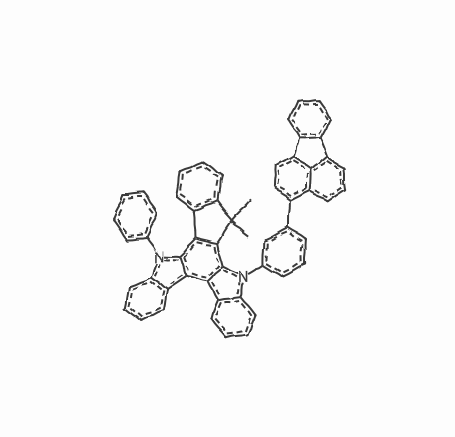 CC1(C)c2ccccc2-c2c1c1c(c3ccccc3n1-c1cccc(-c3ccc4c5c(cccc35)-c3ccccc3-4)c1)c1c3ccccc3n(-c3ccccc3)c21